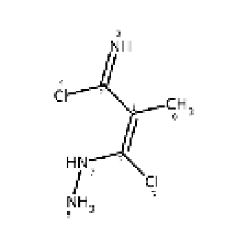 C/C(C(=N)Cl)=C(\Cl)NN